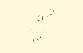 C[C@@]1(c2cc(Cl)c(Cl)cn2)Oc2cccc(C3CCN(Cc4nc5sc(C(=O)O)cc5n4C[C@@H]4CCO4)CC3)c2O1